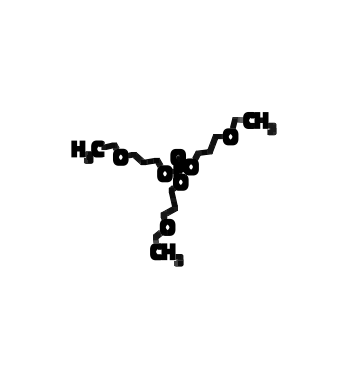 CCOCCCOP(=O)(OCCCOCC)OCCCOCC